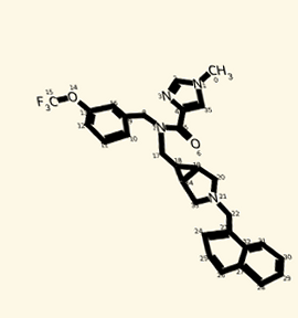 Cn1cnc(C(=O)N(Cc2cccc(OC(F)(F)F)c2)CC2C3CN(Cc4cccc5ccccc45)CC32)c1